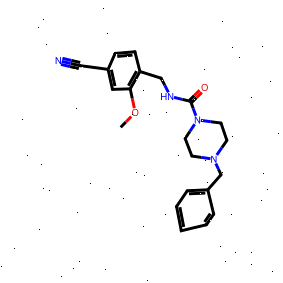 COc1cc(C#N)ccc1CNC(=O)N1CCN(Cc2ccccc2)CC1